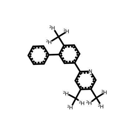 [2H]C([2H])([2H])c1ccc(-c2cc(C([2H])([2H])[2H])c(C([2H])([2H])[2H])cn2)cc1-c1ccccc1